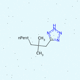 CCCCCCC(C)(C)Cc1nn[nH]n1